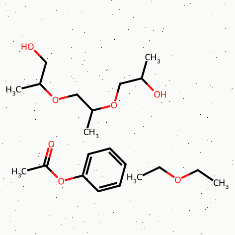 CC(=O)Oc1ccccc1.CC(O)COC(C)COC(C)CO.CCOCC